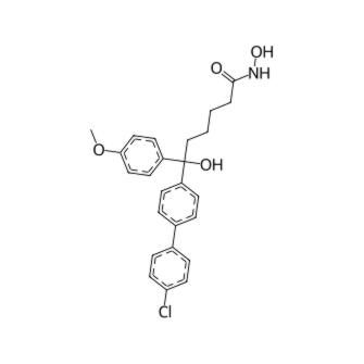 COc1ccc(C(O)(CCCCC(=O)NO)c2ccc(-c3ccc(Cl)cc3)cc2)cc1